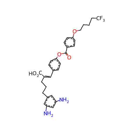 Nc1cc(N)cc(CCCC(=Cc2ccc(OC(=O)c3ccc(OCCCCC(F)(F)F)cc3)cc2)C(=O)O)c1